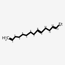 C=CCCCCCCC=CCCC=CCC